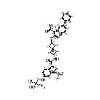 CC(C)(O)COc1ccc2c(C(=O)N[C@H]3CC4(C3)C[C@H](Oc3nn5ccc(-c6ccccc6)cc5c3C(N)=O)C4)nn(C(F)F)c2c1